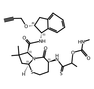 C#CCO[C@@H]1Cc2ccccc2[C@@H]1NC(=O)[C@H]1N2C(=O)[C@@H](NC(=S)C(C)OC(=O)NC)CCS[C@H]2CC1(C)C